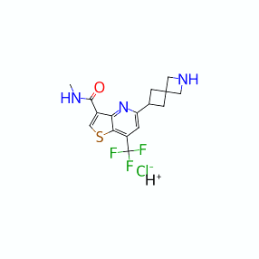 CNC(=O)c1csc2c(C(F)(F)F)cc(C3CC4(CNC4)C3)nc12.[Cl-].[H+]